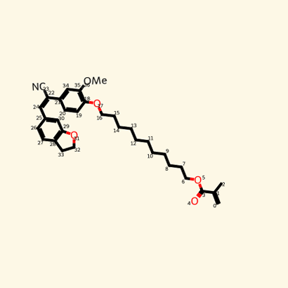 C=C(C)C(=O)OCCCCCCCCCCCOc1ccc(C(C#N)=Cc2ccc3c(c2)OCC3)cc1OC